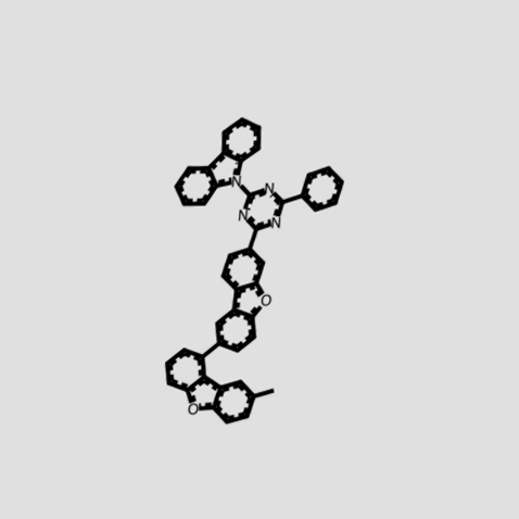 Cc1ccc2oc3cccc(-c4ccc5oc6cc(-c7nc(-c8ccccc8)nc(-n8c9ccccc9c9ccccc98)n7)ccc6c5c4)c3c2c1